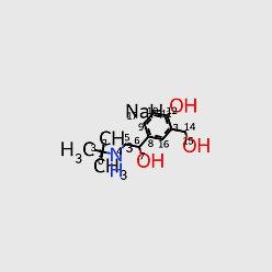 CC(C)(C)NCC(O)c1ccc(O)c(CO)c1.[NaH]